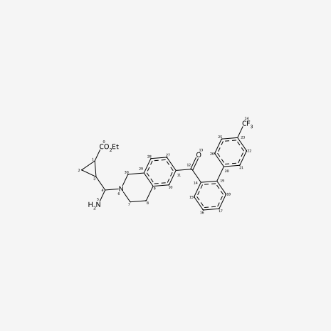 CCOC(=O)C1CC1C(N)N1CCc2cc(C(=O)c3ccccc3-c3ccc(C(F)(F)F)cc3)ccc2C1